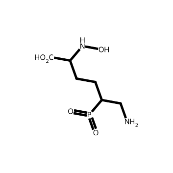 NCC(CCC(NO)C(=O)O)P(=O)=O